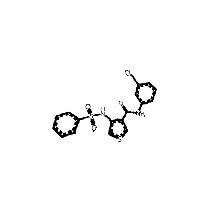 O=C(Nc1cccc(Cl)c1)c1cscc1NS(=O)(=O)c1ccccc1